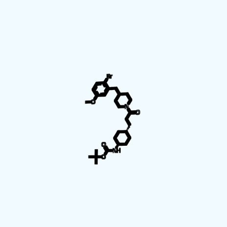 COc1ccc(Br)c(CC2CCN(C(=O)CC[C@H]3CC[C@H](NC(=O)OC(C)(C)C)CC3)CC2)c1